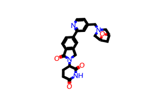 O=C1CCC(N2Cc3cc(-c4cc(CN5CC6CC(C5)O6)ccn4)ccc3C2=O)C(=O)N1